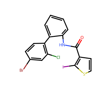 O=C(Nc1ccccc1-c1ccc(Br)cc1Cl)c1ccsc1I